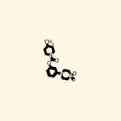 CC1CCN(C(=O)Oc2cccc(N3CCS(=O)(=O)CC3)c2)CC1